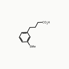 CSc1cccc(CCCC(=O)O)c1